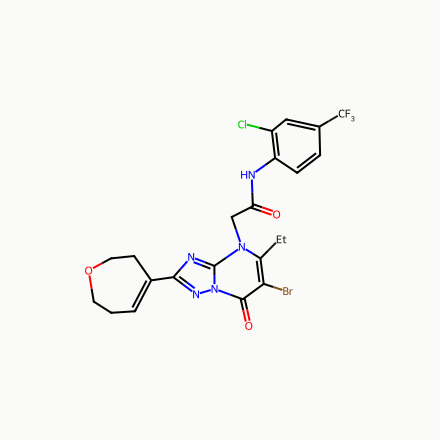 CCc1c(Br)c(=O)n2nc(C3=CCCOCC3)nc2n1CC(=O)Nc1ccc(C(F)(F)F)cc1Cl